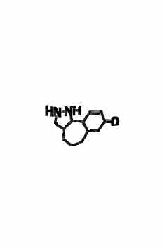 O=C1C=CC2C(CCCC3CNNC32)C1